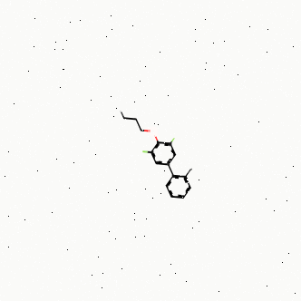 CCC(C)c1ccccc1-c1cc(F)c(OCCCC(=O)O)c(F)c1